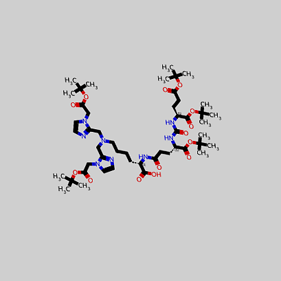 CC(C)(C)OC(=O)CC[C@H](NC(=O)N[C@@H](CCC(=O)N[C@@H](CCCCN(Cc1nccn1CC(=O)OC(C)(C)C)Cc1nccn1CC(=O)OC(C)(C)C)C(=O)O)C(=O)OC(C)(C)C)C(=O)OC(C)(C)C